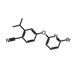 CC(C)c1cc(Oc2cccc(Br)n2)ccc1C#N